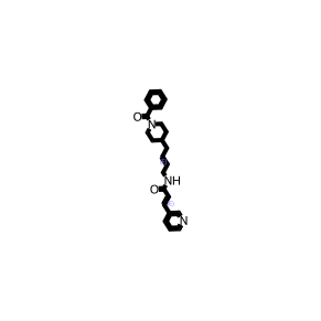 O=C(/C=C/c1cccnc1)NC/C=C/CC1CCN(C(=O)c2ccccc2)CC1